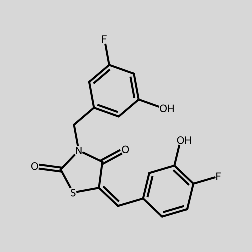 O=C1SC(=Cc2ccc(F)c(O)c2)C(=O)N1Cc1cc(O)cc(F)c1